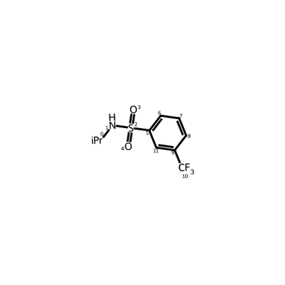 CC(C)NS(=O)(=O)c1cccc(C(F)(F)F)c1